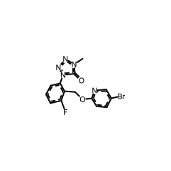 Cn1nnn(-c2cccc(F)c2COc2ccc(Br)cn2)c1=O